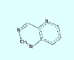 C/N=C\c1ncccc1Br